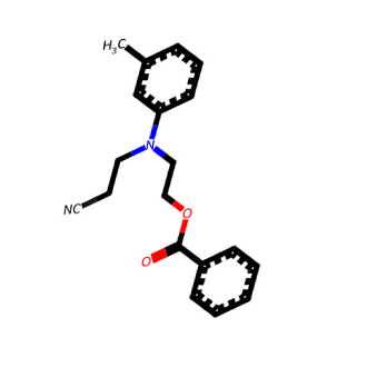 Cc1cccc(N(CCC#N)CCOC(=O)c2ccccc2)c1